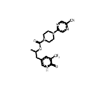 CC(Cc1c[nH]c(=O)c(C(F)(F)F)c1)OC(=O)N1CCN(c2cnc(C#N)cn2)CC1